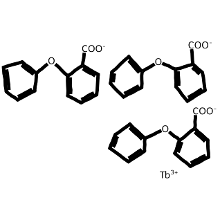 O=C([O-])c1ccccc1Oc1ccccc1.O=C([O-])c1ccccc1Oc1ccccc1.O=C([O-])c1ccccc1Oc1ccccc1.[Tb+3]